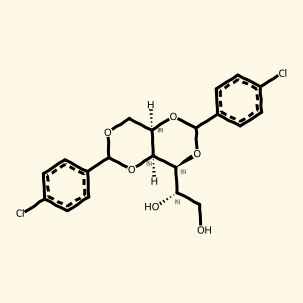 OC[C@H](O)[C@@H]1OC(c2ccc(Cl)cc2)O[C@@H]2COC(c3ccc(Cl)cc3)O[C@H]12